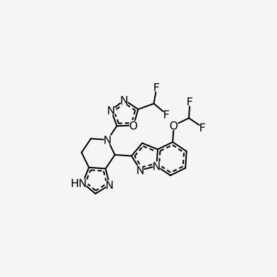 FC(F)Oc1cccn2nc(C3c4nc[nH]c4CCN3c3nnc(C(F)F)o3)cc12